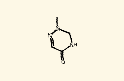 CN1CNC(=O)C=N1